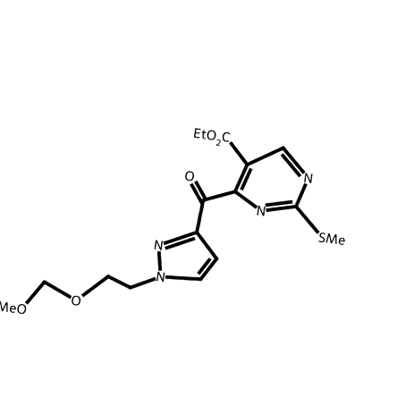 CCOC(=O)c1cnc(SC)nc1C(=O)c1ccn(CCOCOC)n1